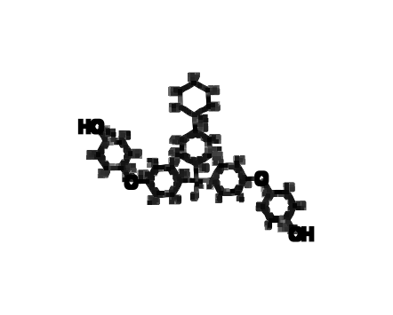 CC(c1ccc(Oc2ccc(O)cc2)cc1)(c1ccc(Oc2ccc(O)cc2)cc1)c1ccc(C2CCCCC2)cc1